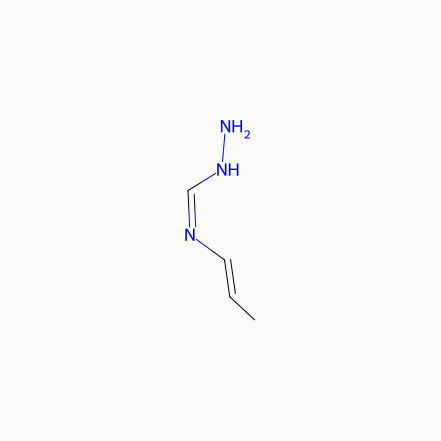 C/C=C/N=C\NN